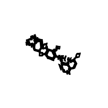 Fc1c(Nc2ncnc3ccc(Cl)nc23)ccc(Oc2ccc3ncnn3c2)c1Cl